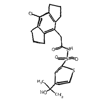 CC(C)(O)c1csc(S(=O)(=O)NC(=O)Cc2c3c(c(Cl)c4c2CCC4)CCC3)c1